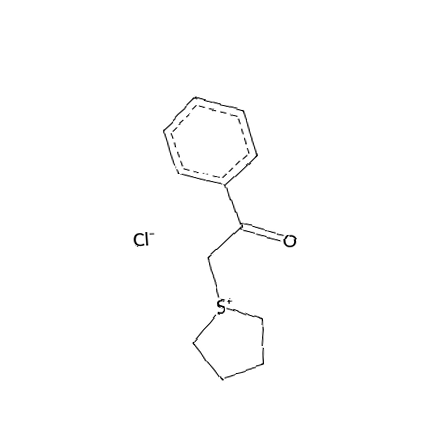 O=C(C[S+]1CCCC1)c1ccccc1.[Cl-]